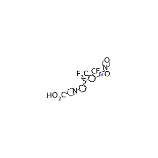 O=C(O)C1CCN(c2cccc(Sc3ccc(/C=C/C(=O)N4CCOCC4)c(C(F)(F)F)c3C(F)(F)F)c2)CC1